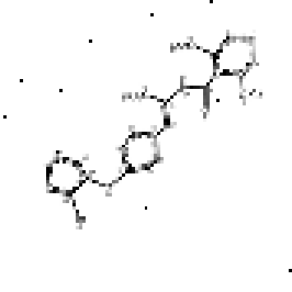 COc1cccc(OC)c1C(=O)NC(=Cc1ccc(Oc2ccccc2Br)cc1)C(=O)O